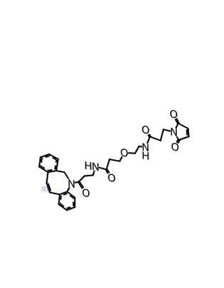 O=C(CCOCCNC(=O)CCN1C(=O)C=CC1=O)NCCC(=O)N1Cc2ccccc2/C=C\c2ccccc21